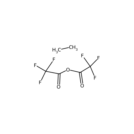 CC.O=C(OC(=O)C(F)(F)F)C(F)(F)F